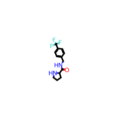 O=C(NCc1ccc(C(F)(F)F)cc1)C1CCCN1